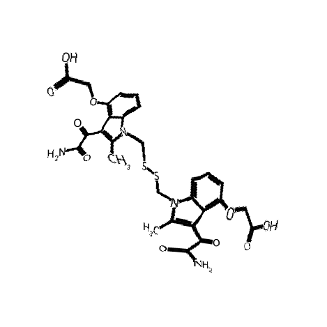 Cc1c(C(=O)C(N)=O)c2c(OCC(=O)O)cccc2n1CSSCn1c(C)c(C(=O)C(N)=O)c2c(OCC(=O)O)cccc21